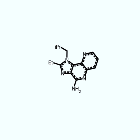 CCc1nc2c(N)nc3cccnc3c2n1CC(C)C